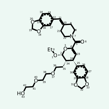 CCO[C@@H]1OC(C(=O)N2CCC(=Cc3ccc4c(c3)OCO4)CC2)=C[C@H](c2ccc3c(c2)OCO3)[C@@H]1CCOCCOCCO